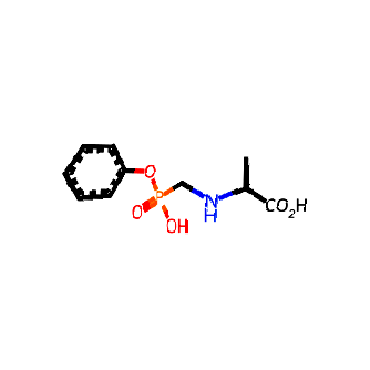 CC(NCP(=O)(O)Oc1ccccc1)C(=O)O